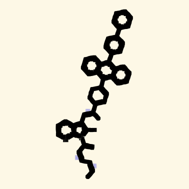 C=C(/C=C\C=C/C)n1c(C)c(/C=C(\C)C2=CC=C(c3c4ccccc4c(-c4ccc(-c5ccccc5)cc4)c4ccccc34)CC2)c2cccnc21